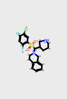 O=S(=O)(c1cc(Cl)c(F)cc1F)C(C1CCCNC1)N1CCc2ccccc2C1